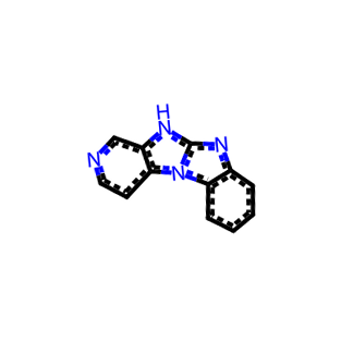 c1ccc2c(c1)nc1[nH]c3cnccc3n12